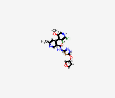 COc1cnc(Cl)c(F)c1-c1cc(C)ncc1C(=O)Nc1nnc(O[C@@H]2CCOC2)s1